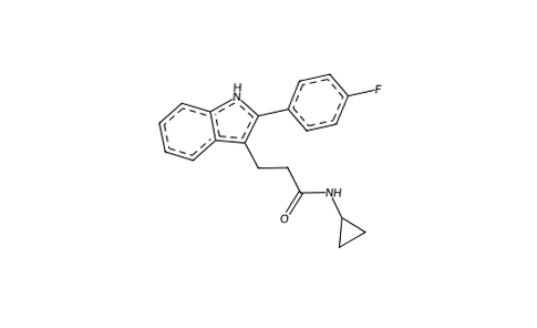 O=C(CCc1c(-c2ccc(F)cc2)[nH]c2ccccc12)NC1CC1